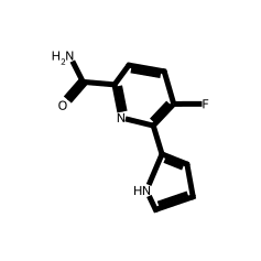 NC(=O)c1ccc(F)c(-c2ccc[nH]2)n1